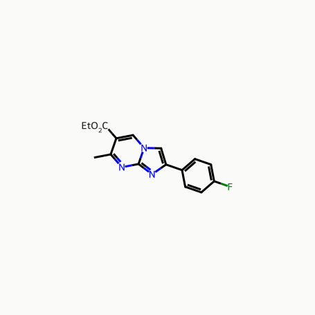 CCOC(=O)c1cn2cc(-c3ccc(F)cc3)nc2nc1C